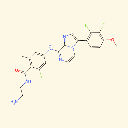 COc1ccc(-c2cnc3c(Nc4cc(C)c(C(=O)NCCN)c(F)c4)nccn23)c(F)c1F